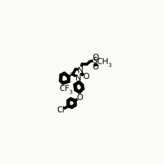 CS(=O)(=O)CCCN1C[C@H](c2cccc(C(F)(F)F)c2)N(c2ccc(Oc3ccc(Cl)cc3)cc2)C1=O